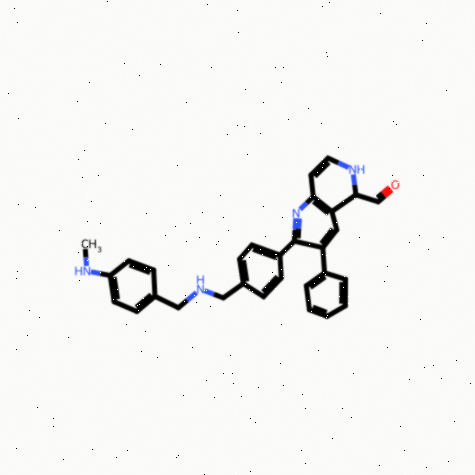 CNc1ccc(CNCc2ccc(-c3nc4c(cc3-c3ccccc3)C(C=O)NC=C4)cc2)cc1